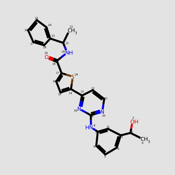 CC(O)c1cccc(Nc2nccc(-c3ccc(C(=O)NC(C)c4ccccc4)s3)n2)c1